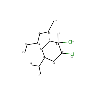 CC(C)C1CCC(C)(Cl)C(Cl)C1.CCCCCC